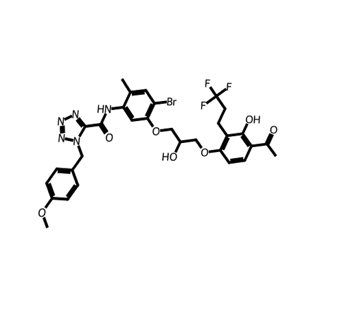 COc1ccc(Cn2nnnc2C(=O)Nc2cc(OCC(O)COc3ccc(C(C)=O)c(O)c3CCC(F)(F)F)c(Br)cc2C)cc1